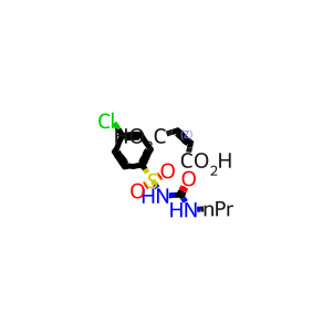 CCCNC(=O)NS(=O)(=O)c1ccc(Cl)cc1.O=C(O)/C=C\C(=O)O